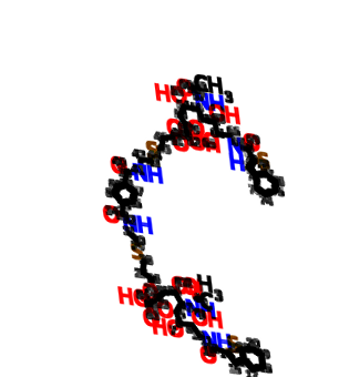 CC(=O)N[C@H]1[C@H]([C@H](O)[C@H](O)CNC(=O)c2cc3ccccc3s2)O[C@@](OCCCSCCNC(=O)c2ccc(C(=O)NCCSCCCO[C@]3(C(=O)O)C[C@H](O)[C@@H](NC(C)=O)[C@H]([C@H](O)[C@H](O)CNC(=O)c4cc5ccccc5s4)O3)cc2)(C(=O)O)C[C@@H]1O